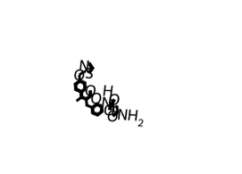 Cc1c(Cc2cccc(NS(=O)(=O)CC(N)=O)c2)c(=O)oc2cc(Oc3nccs3)ccc12